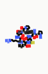 CC[C@H](C)[C@H](NC(=O)[C@@H]1CCCN1)C(=O)N[C@@H](CS)C(=O)N[C@H](C(=O)N[C@@H](CCCCN)C(=O)N[C@@H](CO)C(=O)N[C@H](C(=O)N1CCC[C@H]1[C]=O)[C@@H](C)CC)[C@@H](C)O